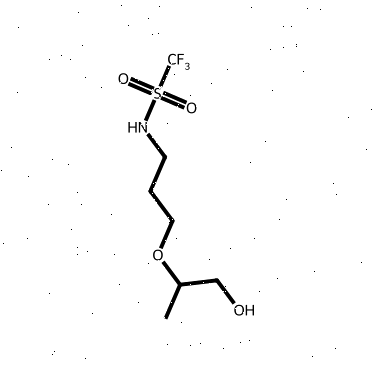 CC(CO)OCCCNS(=O)(=O)C(F)(F)F